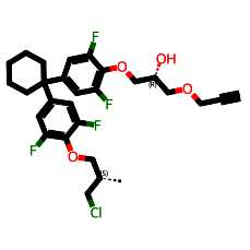 C#CCOC[C@@H](O)COc1c(F)cc(C2(c3cc(F)c(OC[C@H](C)CCl)c(F)c3)CCCCC2)cc1F